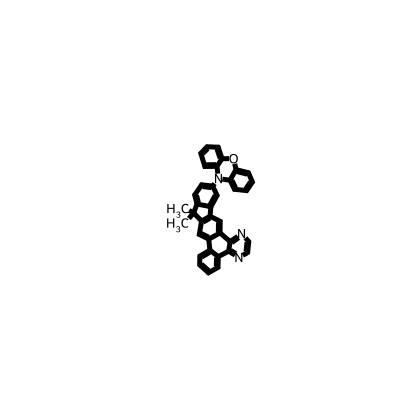 CC1(C)c2ccc(N3c4ccccc4Oc4ccccc43)cc2-c2cc3c(cc21)c1ccccc1c1nccnc31